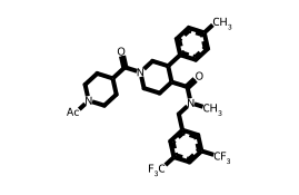 CC(=O)N1CCC(C(=O)N2CCC(C(=O)N(C)Cc3cc(C(F)(F)F)cc(C(F)(F)F)c3)C(c3ccc(C)cc3)C2)CC1